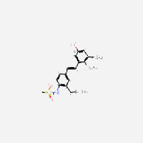 COc1c(C=Cc2ccc(NS(C)(=O)=O)c(CNC(C)=O)c2)cc(Br)cc1C(C)(C)C